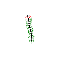 O=C([O-])C(F)(F)C(F)(F)C(F)(F)C(F)(F)C(F)(F)C(F)(F)C(F)(F)C(F)(F)C(F)(F)C(F)(F)C(F)(F)C(F)(F)F.[Li+]